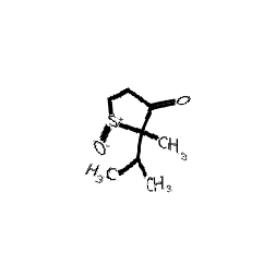 CC(C)C1(C)C(=O)CC[S+]1[O-]